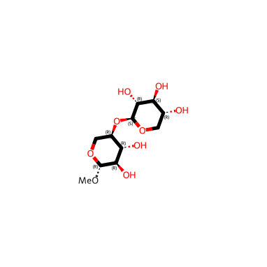 CO[C@@H]1OC[C@@H](O[C@@H]2OC[C@@H](O)[C@H](O)[C@H]2O)[C@H](O)[C@H]1O